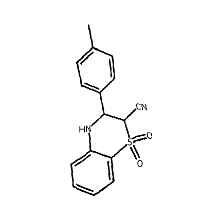 Cc1ccc(C2Nc3ccccc3S(=O)(=O)C2C#N)cc1